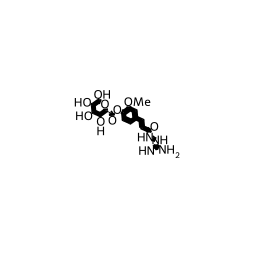 COc1cc(/C=C/C(=O)NNC(=N)N)ccc1OC(=O)[C@H]1O[C@@H](O)[C@H](O)[C@@H](O)[C@@H]1O